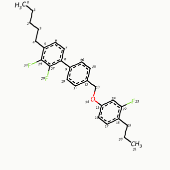 CCCCCc1ccc(-c2ccc(COc3ccc(CCC)c(F)c3)cc2)c(F)c1F